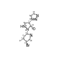 Cc1cc(-n2[nH]cc(-n3ccnn3)c2=O)ncc1Br